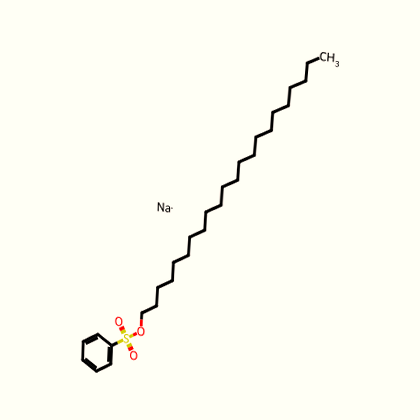 CCCCCCCCCCCCCCCCCCCCCCOS(=O)(=O)c1ccccc1.[Na]